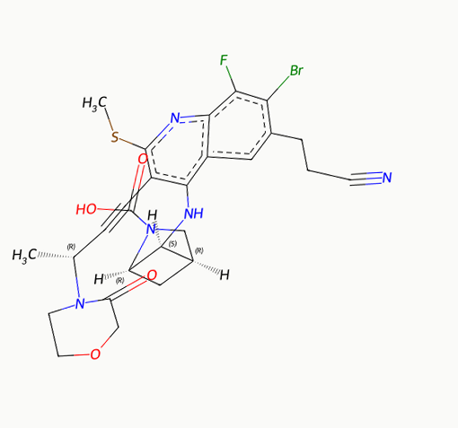 CSc1nc2c(F)c(Br)c(CCC#N)cc2c(N[C@H]2[C@@H]3C[C@H]2N(C(=O)O)C3)c1C#C[C@@H](C)N1CCOCC1=O